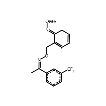 CON=C1CC=C[C]=C1CON=C(C)c1cccc(C(F)(F)F)c1